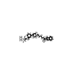 CC(C)Oc1cccc(N2CCN(CCCCCC(=O)N3Cc4ccccc4C3)CC2)c1